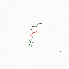 CC=CCCC(C)C(=O)OCC(C)(C)C(F)(F)F